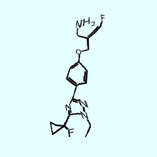 CCn1nc(-c2ccc(OC/C(=C/F)CN)cc2)nc1C1(F)CC1